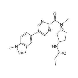 CCC(=O)NC1CC[C@H](N(C)C(=O)c2ncc(-c3ccc4c(ccn4C)c3)cn2)C1